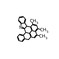 Cc1cc(C)c2c(C)cc3c4c2c1C1C(=Nc2ccccc21)C4c1ccccc1C3